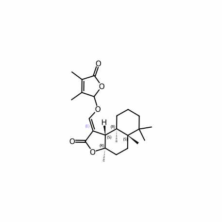 CC1=C(C)C(O/C=C2/C(=O)O[C@]3(C)CC[C@@]4(C)C(C)(C)CCC[C@]4(C)[C@@H]23)OC1=O